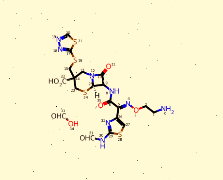 NCCON=C(C(=O)NC1C(=O)N2CC(CSc3nncs3)(C(=O)O)CS[C@H]12)c1csc(NC=O)n1.O=CO